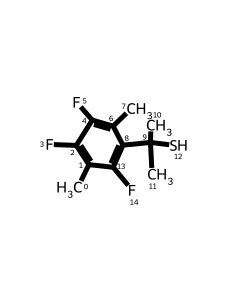 Cc1c(F)c(F)c(C)c(C(C)(C)S)c1F